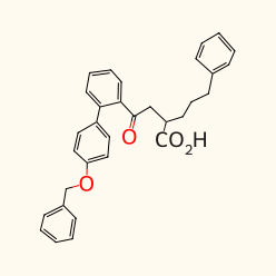 O=C(CC(CCCc1ccccc1)C(=O)O)c1ccccc1-c1ccc(OCc2ccccc2)cc1